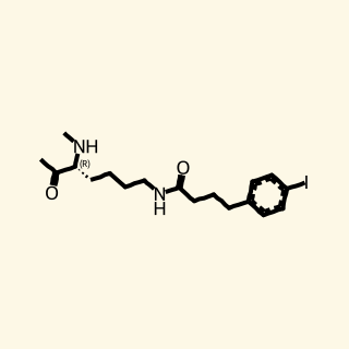 CN[C@H](CCCCNC(=O)CCCc1ccc(I)cc1)C(C)=O